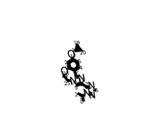 CC(C)n1ncnc1-c1cn2c(n1)-c1ccc(OC3CC3)cc1OCC2